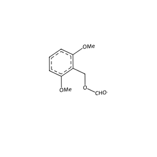 COc1cccc(OC)c1CO[C]=O